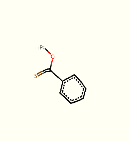 CC(C)OC(=S)c1ccccc1